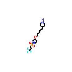 O=S(=O)(CCC(F)(F)F)N1CCC(OCCCCCC2CCNCC2)C1